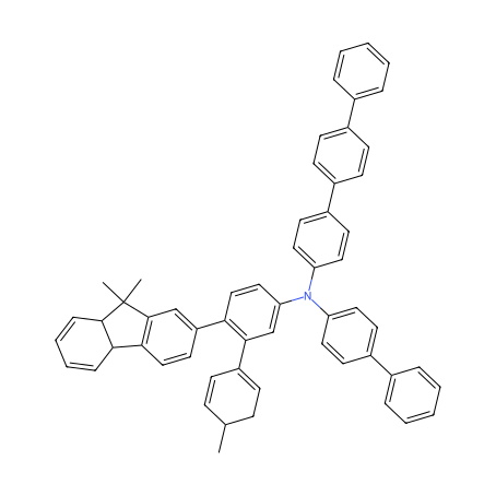 CC1C=CC(c2cc(N(c3ccc(-c4ccccc4)cc3)c3ccc(-c4ccc(-c5ccccc5)cc4)cc3)ccc2-c2ccc3c(c2)C(C)(C)C2C=CC=CC32)=CC1